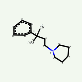 CCCCC(C#N)(CCN1CCCCC1)c1ccccc1